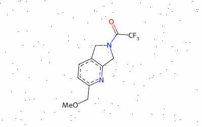 COCc1ccc2c(n1)CN(C(=O)C(F)(F)F)C2